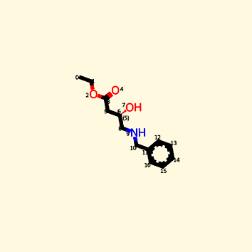 CCOC(=O)C[C@H](O)CNCc1ccccc1